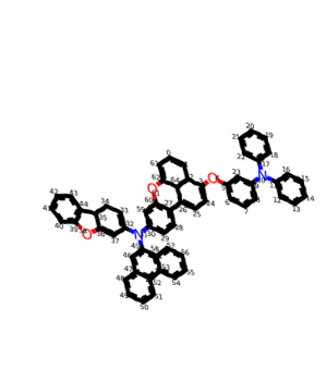 C1=CC2C(Oc3cccc(N(c4ccccc4)c4ccccc4)c3)=CC=C3c4ccc(N(C5=CCC6C(=C5)Oc5ccccc56)c5cc6ccccc6c6ccccc56)cc4OC(=C1)C32